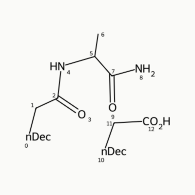 CCCCCCCCCCCC(=O)NC(C)C(N)=O.CCCCCCCCCCCC(=O)O